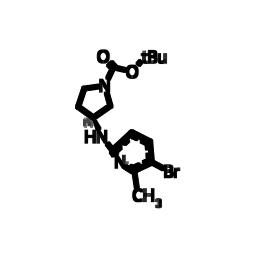 Cc1nc(N[C@H]2CCN(C(=O)OC(C)(C)C)C2)ccc1Br